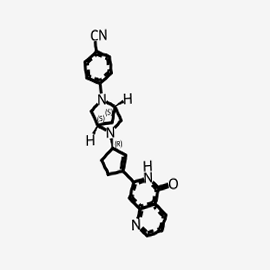 N#Cc1ccc(N2C[C@@H]3C[C@H]2CN3[C@H]2C=C(c3cc4ncccc4c(=O)[nH]3)CC2)cc1